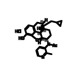 CC(=O)N(c1cccnc1C)[C@H]1CC[C@@]2(O)[C@H]3Cc4ccc(O)c5c4[C@@]2(CCN3CC2CC2)[C@H]1O5.Cl